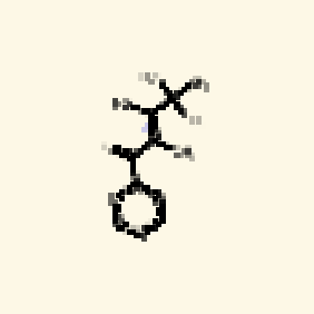 C/C(C(=O)c1ccncn1)=C(/O)C(C)(C)C